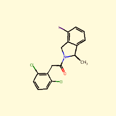 CC1c2cccc(I)c2CN1C(=O)Cc1c(Cl)cccc1Cl